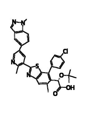 Cc1cc2nc(-c3cc(-c4ccc5c(cnn5C)c4)cnc3C)sc2c(-c2ccc(Cl)cc2)c1[C@H](OC(C)(C)C)C(=O)O